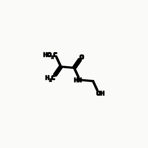 C=C(C(=O)O)C(=O)NCO